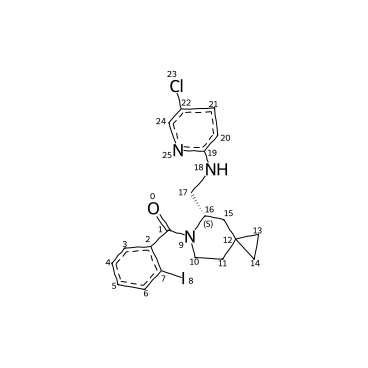 O=C(c1ccccc1I)N1CCC2(CC2)C[C@H]1CNc1ccc(Cl)cn1